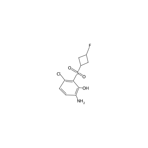 Nc1ccc(Cl)c(S(=O)(=O)C2CC(F)C2)c1O